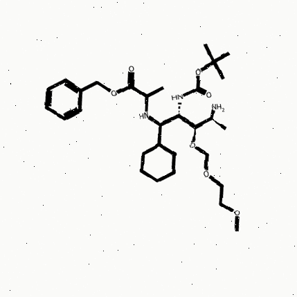 COCCOCO[C@H]([C@H](C)N)[C@@H](NC(=O)OC(C)(C)C)C(NC(C)C(=O)OCc1ccccc1)C1CCCCC1